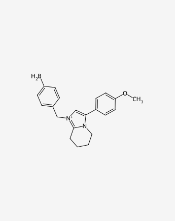 Bc1ccc(C[n+]2cc(-c3ccc(OC)cc3)n3c2CCCC3)cc1